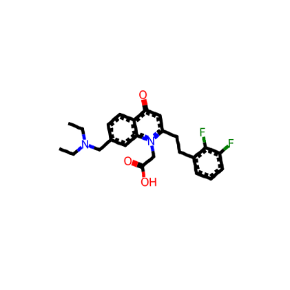 CCN(CC)Cc1ccc2c(=O)cc(CCc3cccc(F)c3F)n(CC(=O)O)c2c1